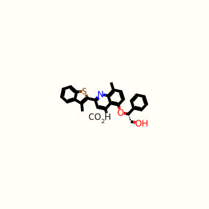 Cc1c(-c2cc(C(=O)O)c3c(O[C@@H](CO)c4ccccc4)ccc(C)c3n2)sc2ccccc12